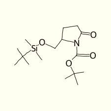 CC(C)(C)OC(=O)N1C(=O)CCC1CO[Si](C)(C)C(C)(C)C